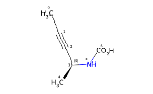 CC#C[C@H](C)NC(=O)O